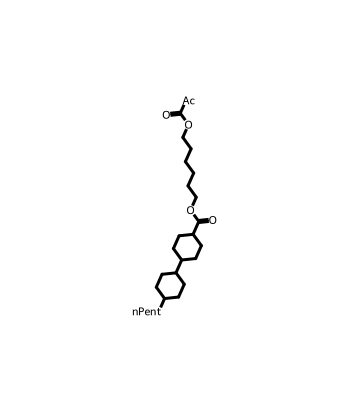 CCCCCC1CCC(C2CCC(C(=O)OCCCCCCOC(=O)C(C)=O)CC2)CC1